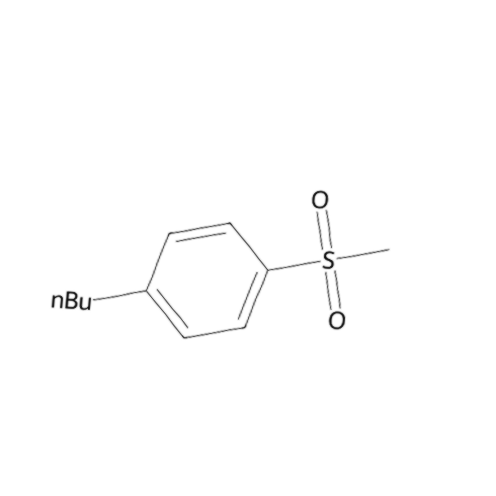 [CH2]CCCc1ccc(S(C)(=O)=O)cc1